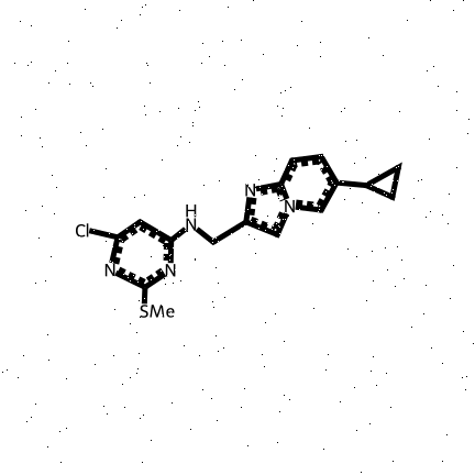 CSc1nc(Cl)cc(NCc2cn3cc(C4CC4)ccc3n2)n1